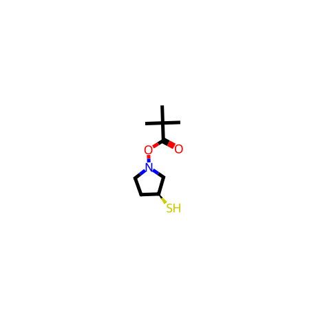 CC(C)(C)C(=O)ON1CC[C@H](S)C1